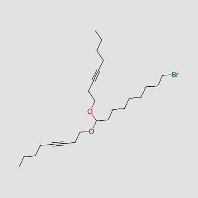 CCCCC#CCCOC(CCCCCCCCBr)OCCC#CCCCC